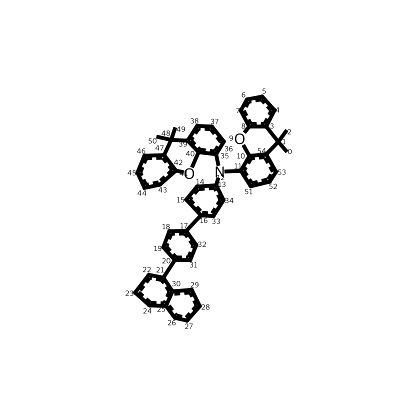 CC1(C)c2ccccc2Oc2c(N(c3ccc(-c4ccc(-c5cccc6ccccc56)cc4)cc3)c3cccc4c3Oc3ccccc3C4(C)C)cccc21